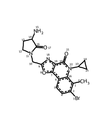 Cc1c(Br)ccc2c3oc(CN4CCC(N)C4=O)nc3c(=O)n(C3CC3)c12